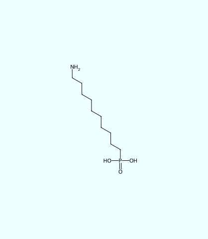 NCCCCCCCCCCP(=O)(O)O